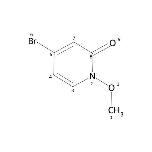 COn1ccc(Br)cc1=O